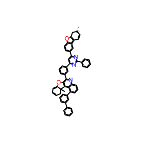 C[C@@H]1C=Cc2c(oc3ccc(-c4cc(-c5cccc(-c6nc7cccc(-c8cccc(-c9ccccc9)c8)c7c7c6OC6=CC=CCC67C)c5)nc(-c5ccccc5)n4)cc23)C1